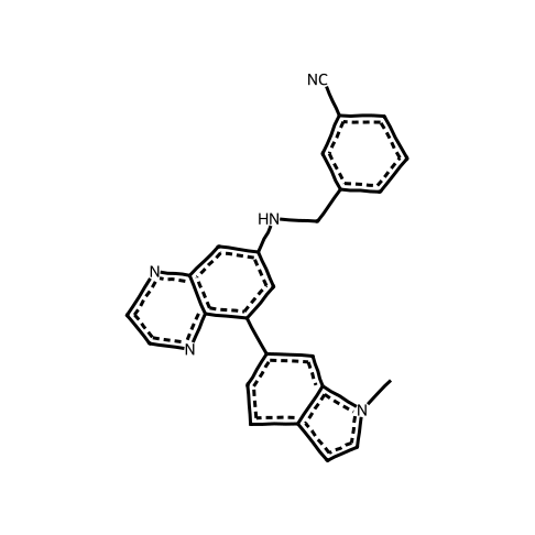 Cn1ccc2ccc(-c3cc(NCc4cccc(C#N)c4)cc4nccnc34)cc21